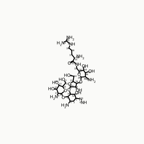 N=NC1CC(N)C(OC2OC(CO)C(O)C(O)C2N)C(OC2OC(CO)C(OC3OC(CNC(=O)[C@@H](N)CCCNC(N)N)C(O)C(O)C3N)C2O)C1O